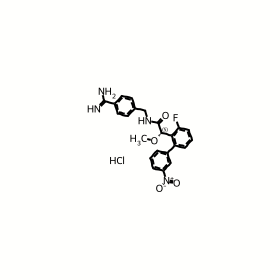 CO[C@H](C(=O)NCc1ccc(C(=N)N)cc1)c1c(F)cccc1-c1cccc([N+](=O)[O-])c1.Cl